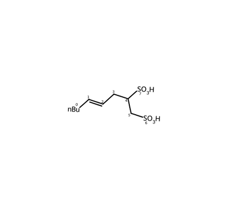 CCCCC=CCC(CS(=O)(=O)O)S(=O)(=O)O